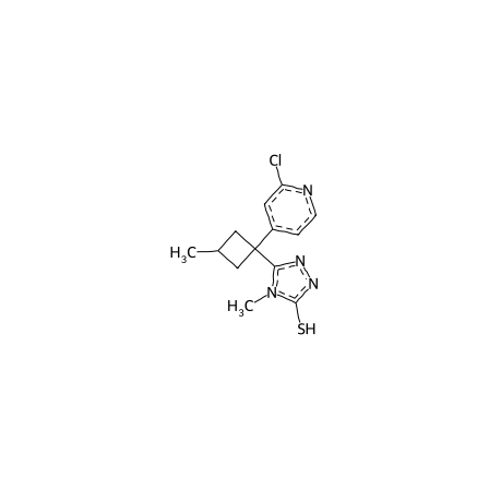 CC1CC(c2ccnc(Cl)c2)(c2nnc(S)n2C)C1